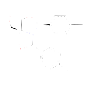 Cc1ccc(C2OC[C@]3(CO)CO[C@@H](c4ccc(C)cc4)N23)cc1